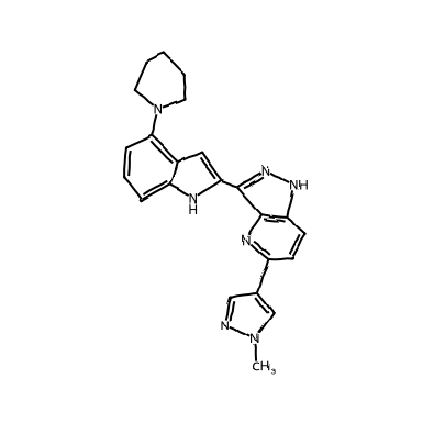 Cn1cc(-c2ccc3[nH]nc(-c4cc5c(N6CCCCC6)cccc5[nH]4)c3n2)cn1